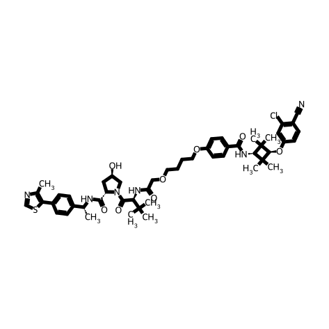 Cc1ncsc1-c1ccc([C@@H](C)NC(=O)[C@@H]2C[C@@H](O)CN2C(=O)[C@@H](NC(=O)COCCCCOc2ccc(C(=O)N[C@H]3C(C)(C)[C@H](Oc4ccc(C#N)c(Cl)c4)C3(C)C)cc2)C(C)(C)C)cc1